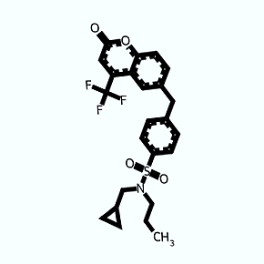 CCCN(CC1CC1)S(=O)(=O)c1ccc(Cc2ccc3oc(=O)cc(C(F)(F)F)c3c2)cc1